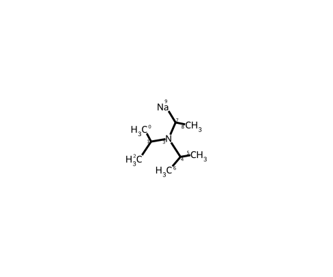 CC(C)N(C(C)C)[CH](C)[Na]